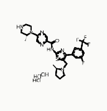 C[C@@H]1CCCN1Cc1sc(NC(=O)c2cnc(N3CCNC[C@H]3C)cn2)nc1-c1cc(F)cc(C(F)(F)F)c1.Cl.Cl.Cl